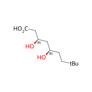 CC(C)(C)CC[C@@H](O)C[C@@H](O)CC(=O)O